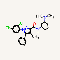 Cc1c(C(=O)N[C@@H]2CCC[C@H](N(C)C)C2)nn(-c2ccc(Cl)cc2Cl)c1-c1cc[c]cc1